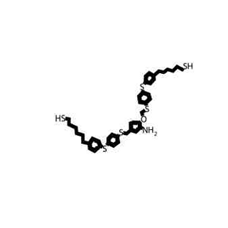 Nc1cc(CSc2ccc(Sc3ccc(CCCCCCS)cc3)cc2)ccc1OCSc1ccc(Sc2ccc(CCCCCCS)cc2)cc1